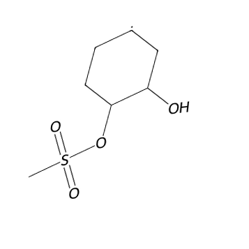 CS(=O)(=O)OC1CC[CH]CC1O